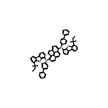 CCC(C)(C)c1cccc2c1oc1c(N(c3ccc(-c4ccccc4)cc3)c3ccc4ccc5c(N(c6ccc(-c7ccccc7)cc6)c6cccc7c6oc6c(C(C)(C)CC)cccc67)ccc6ccc3c4c65)cccc12